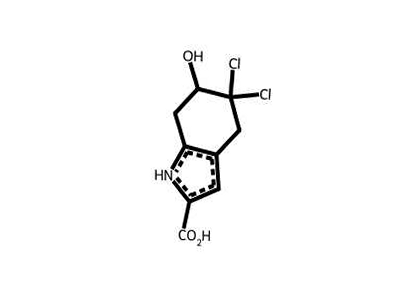 O=C(O)c1cc2c([nH]1)CC(O)C(Cl)(Cl)C2